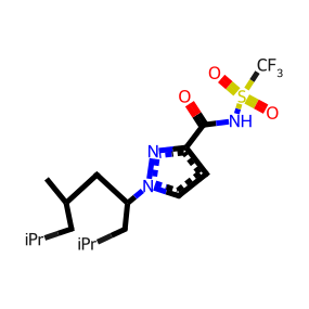 CC(C)CC(C)CC(CC(C)C)n1ccc(C(=O)NS(=O)(=O)C(F)(F)F)n1